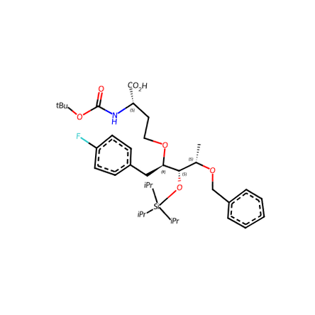 CC(C)[Si](O[C@@H]([C@H](C)OCc1ccccc1)[C@@H](Cc1ccc(F)cc1)OCC[C@H](NC(=O)OC(C)(C)C)C(=O)O)(C(C)C)C(C)C